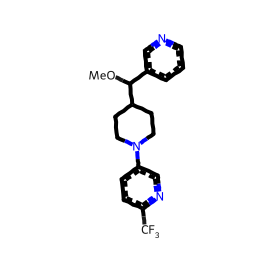 COC(c1cccnc1)C1CCN(c2ccc(C(F)(F)F)nc2)CC1